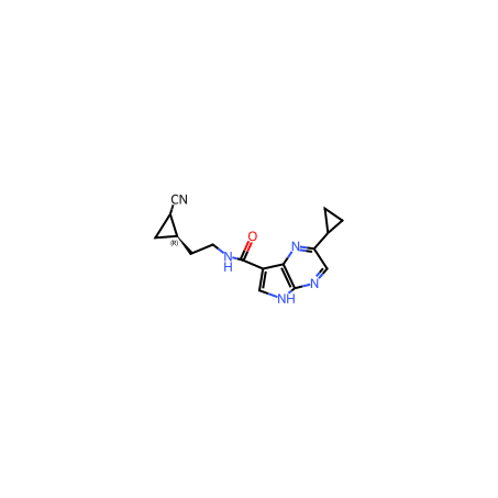 N#CC1C[C@@H]1CCNC(=O)c1c[nH]c2ncc(C3CC3)nc12